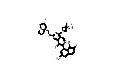 CCc1c(F)ccc2cc(O)cc(-c3ncc4c(N5CC(C)(O)C5)nc(OC[C@@]56CCCN5C[C@H](F)C6)nc4c3F)c12